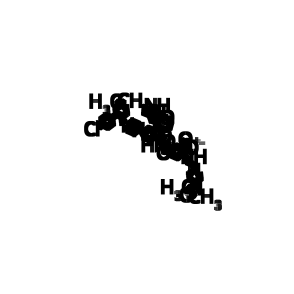 CC1(C)CCC(CN2CCN(c3ccc(C(=O)NS(=O)(=O)c4ccc(NCCN5CCC(N=S(C)(C)=O)CC5)c([N+](=O)[O-])c4)c(N4CCCOc5nc6[nH]ccc6cc54)c3)CC2)=C(c2ccc(Cl)cc2)C1